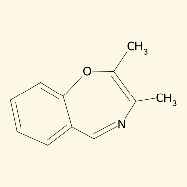 CC1=C(C)Oc2ccccc2C=N1